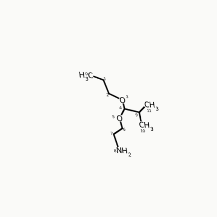 CCCOC(OCCN)C(C)C